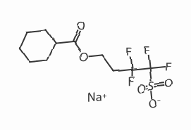 O=C(OCCC(F)(F)C(F)(F)S(=O)(=O)[O-])C1CCCCC1.[Na+]